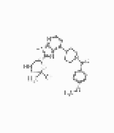 CC1(C)CNC[C@@H](c2nc3c(C4CCN(C(=O)c5ccc(OC(F)(F)F)cc5)CC4)ccnc3[nH]2)O1